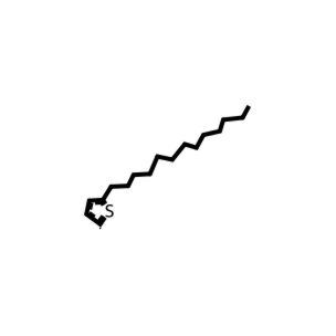 CCCCCCCCCCCCCc1cc[c]s1